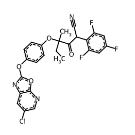 CCC(C)(Oc1ccc(Oc2nc3cc(Cl)cnc3o2)cc1)C(=O)C(C#N)c1c(F)cc(F)cc1F